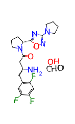 NC(CC(=O)N1CCCC1c1nc(N2CCCC2)no1)Cc1cc(F)c(F)cc1F.O=CO